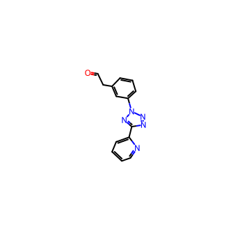 O=CCc1cccc(-n2nnc(-c3ccccn3)n2)c1